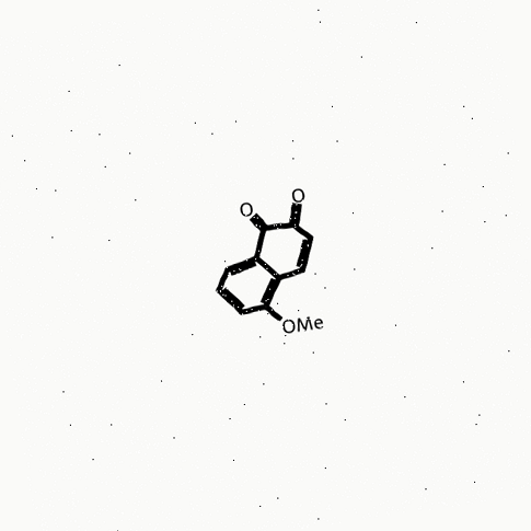 COc1cccc2c1C=CC(=O)C2=O